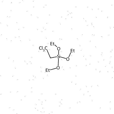 CCO[Si](CC(Cl)(Cl)Cl)(OCC)OCC